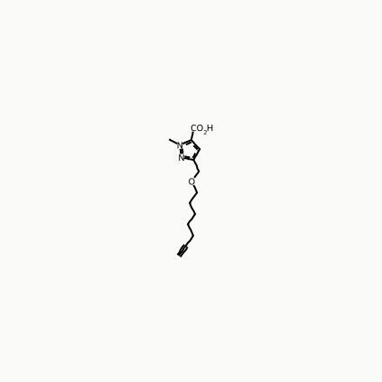 C#CCCCCCOCc1cc(C(=O)O)n(C)n1